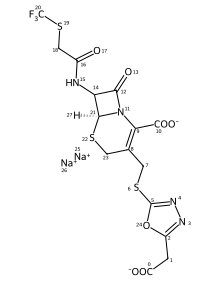 O=C([O-])Cc1nnc(SCC2=C(C(=O)[O-])N3C(=O)C(NC(=O)CSC(F)(F)F)[C@@H]3SC2)o1.[Na+].[Na+]